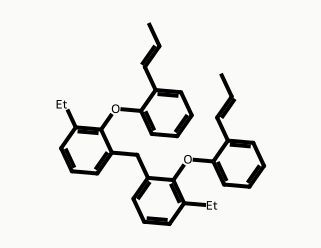 CC=Cc1ccccc1Oc1c(CC)cccc1Cc1cccc(CC)c1Oc1ccccc1C=CC